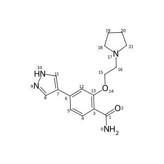 NC(=O)c1ccc(-c2cn[nH]c2)cc1OCCN1CCCC1